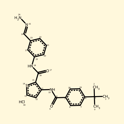 CC(C)(C)c1ccc(C(=O)Nc2ccsc2C(=O)Nc2cccc(C=NN)c2)cc1.Cl